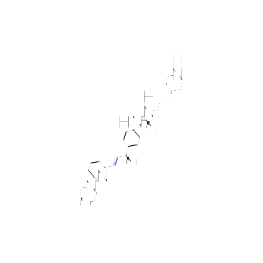 O=C(NCCSC1CCNCC1)Nc1ccc(C(=O)/C=C/c2cccc(N3CCOCC3)n2)cc1